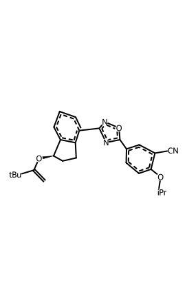 C=C(O[C@@H]1CCc2c(-c3noc(-c4ccc(OC(C)C)c(C#N)c4)n3)cccc21)C(C)(C)C